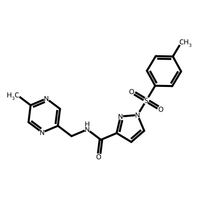 Cc1ccc(S(=O)(=O)n2ccc(C(=O)NCc3cnc(C)cn3)n2)cc1